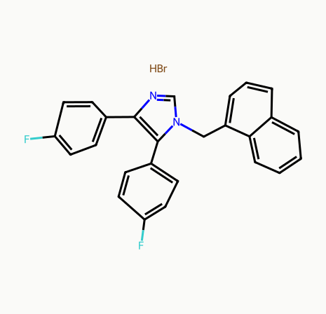 Br.Fc1ccc(-c2ncn(Cc3cccc4ccccc34)c2-c2ccc(F)cc2)cc1